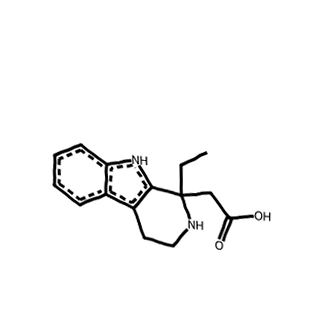 CCC1(CC(=O)O)NCCc2c1[nH]c1ccccc21